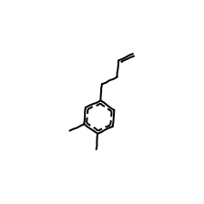 C=CCCc1ccc(C)c(C)c1